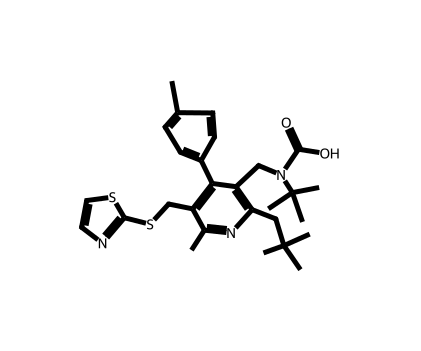 Cc1ccc(-c2c(CSc3nccs3)c(C)nc(CC(C)(C)C)c2CN(C(=O)O)C(C)(C)C)cc1